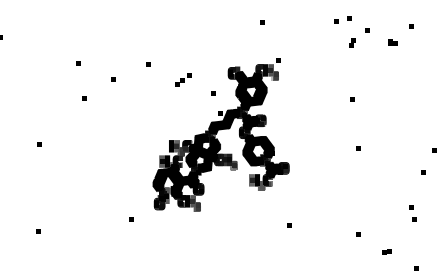 CC(=O)N1CCC(OC(=O)N(CCCN2CC3(C)CN(C(=O)c4c(C)cc[n+]([O-])c4C)CC3(C)C2)c2ccc(C)c(Cl)c2)CC1